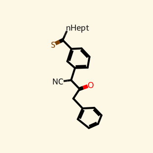 CCCCCCCC(=S)c1cccc(C(C#N)C(=O)Cc2ccccc2)c1